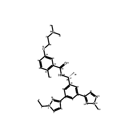 CCn1ccc(-c2cc(-c3cnn(C)n3)cc([C@@H](C)NC(=O)c3cc(OCCN(C)C)ccc3C)c2)n1